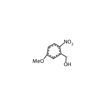 COc1ccc([N+](=O)[O-])c([CH]O)c1